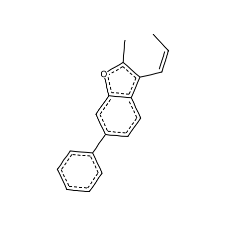 C/C=C\c1c(C)oc2cc(-c3ccccc3)ccc12